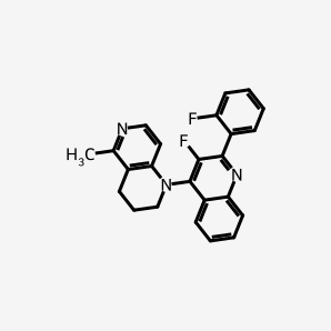 Cc1nccc2c1CCCN2c1c(F)c(-c2ccccc2F)nc2ccccc12